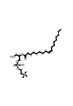 CCCCCCCC/C=C\CCCCCCCC(=O)OC(CO)COP(=O)(O)OCC[N+](C)(C)C